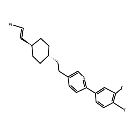 CCC=C[C@H]1CC[C@H](CCc2ccc(-c3ccc(F)c(F)c3)nc2)CC1